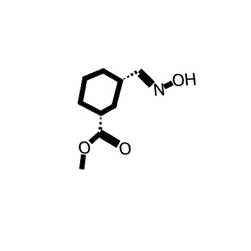 COC(=O)[C@@H]1CCC[C@H](/C=N/O)C1